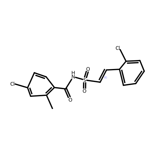 Cc1cc(Cl)ccc1C(=O)NS(=O)(=O)/C=C/c1ccccc1Cl